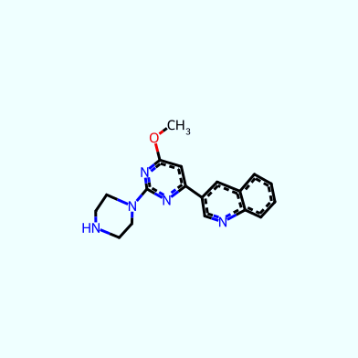 COc1cc(-c2cnc3ccccc3c2)nc(N2CCNCC2)n1